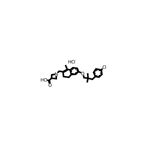 CC1=C(CN2CC(C(=O)O)C2)CCc2cc(OCC(C)(C)Cc3ccc(Cl)cc3)ccc21.Cl